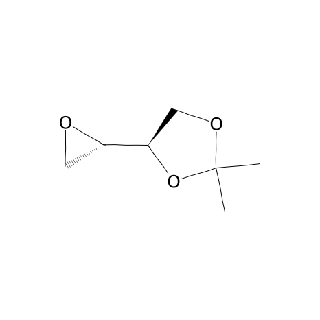 CC1(C)OC[C@H]([C@@H]2CO2)O1